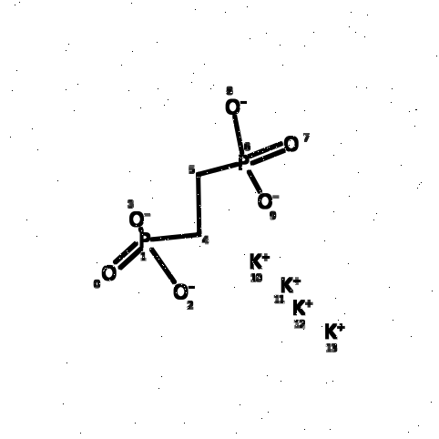 O=P([O-])([O-])CCP(=O)([O-])[O-].[K+].[K+].[K+].[K+]